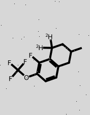 [2H]C1([2H])CC(C)Cc2ccc(OC(F)(F)F)c(F)c21